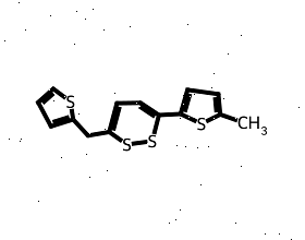 Cc1ccc(C2=CC=C(Cc3cccs3)SS2)s1